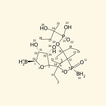 B[C@@H]1OC(C(C)(CC)OP(B)(=O)C(C)(CC)C(C)(CC)OP(=O)(O)C(C)(O)CC)[C@@H](O)[C@H]1O